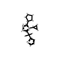 CC(C)(c1cccs1)c1nnc(C2CCCC2)n1C1CC1